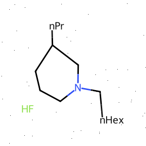 CCCCCCCN1CCCC(CCC)C1.F